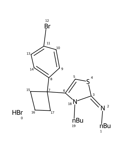 Br.CCCC/N=c1/scc(C2(c3ccc(Br)cc3)CCC2)n1CCCC